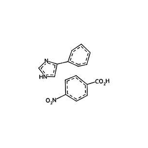 O=C(O)c1ccc([N+](=O)[O-])cc1.c1ccc(-c2c[nH]cn2)cc1